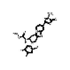 Cn1nc(-c2ccn3c4c(nc3c2)C[C@H](c2cc(F)c(F)cc2F)C(NC(=O)OC(C)(C)C)C4)oc1=O